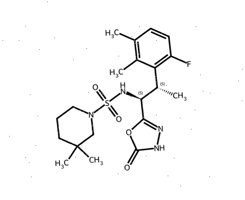 Cc1ccc(F)c([C@H](C)[C@H](NS(=O)(=O)N2CCCC(C)(C)C2)c2n[nH]c(=O)o2)c1C